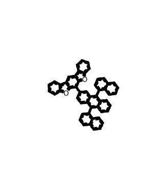 c1ccc2c(-c3c4ccccc4c(-c4cccc5ccccc45)c4cc(-c5c6oc7ccccc7c6cc6c5oc5ccccc56)ccc34)cccc2c1